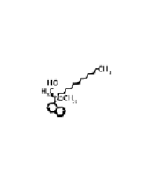 CCCCCCCCCCCC[N+](CC)(CC)c1cccc2ccccc12.[OH-]